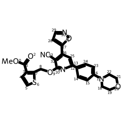 COC(=O)c1ccsc1COc1nc(-c2ccc(N3CCOCC3)cc2)cc(-c2ccno2)c1C#N